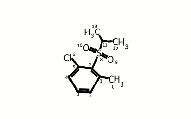 Cc1cccc(Cl)c1S(=O)(=O)C(C)C